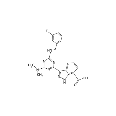 CN(C)c1nc(NCc2cccc(F)c2)nc(-c2n[nH]c3c(C(=O)O)cccc23)n1